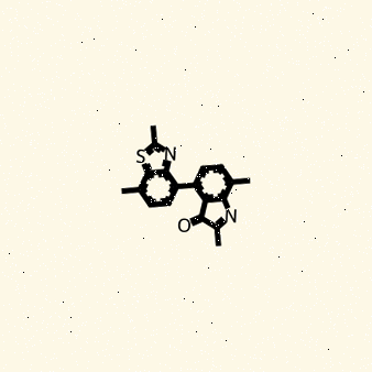 CC1=Nc2c(C)ccc(-c3ccc(C)c4sc(C)nc34)c2C1=O